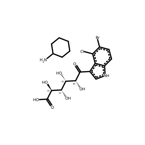 NC1CCCCC1.O=C(O)[C@@H](O)[C@@H](O)[C@H](O)[C@@H](O)C(=O)c1c[nH]c2ccc(Br)c(Cl)c12